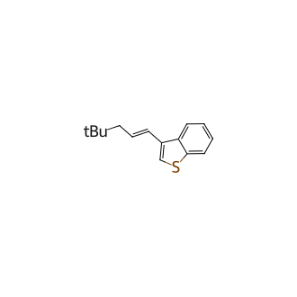 CC(C)(C)C/C=C/c1csc2ccccc12